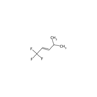 C[C](C)C=CC(F)(F)F